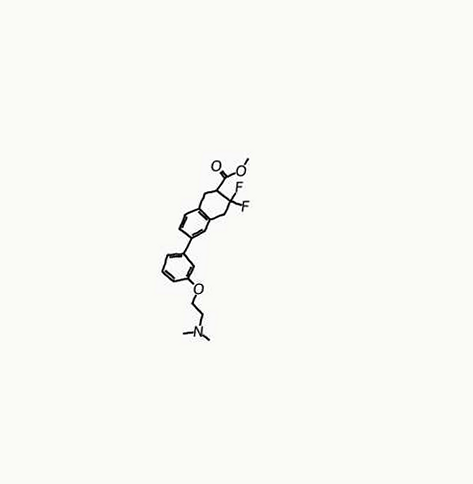 COC(=O)C1Cc2ccc(-c3cccc(OCCN(C)C)c3)cc2CC1(F)F